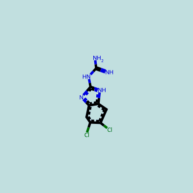 N=C(N)Nc1nc2cc(Cl)c(Cl)cc2[nH]1